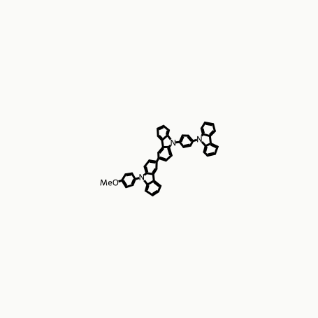 COc1ccc(-n2c3ccccc3c3cc(-c4ccc5c(c4)c4ccccc4n5-c4ccc(-n5c6ccccc6c6ccccc65)cc4)ccc32)cc1